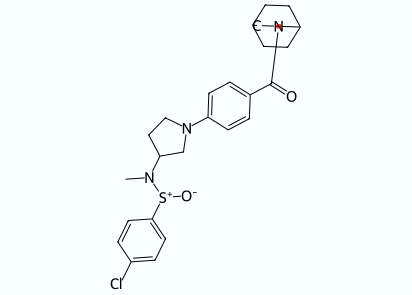 CN(C1CCN(c2ccc(C(=O)N3CC4CCC(CC4)C3)cc2)C1)[S+]([O-])c1ccc(Cl)cc1